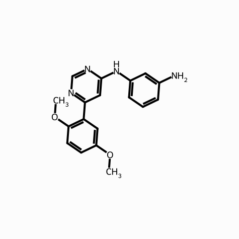 COc1ccc(OC)c(-c2cc(Nc3cccc(N)c3)ncn2)c1